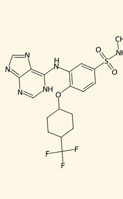 CNS(=O)(=O)c1ccc(OC2CCC(C(F)(F)F)CC2)c(Nc2[nH]cnc3ncnc2-3)c1